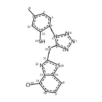 Cc1ccc(-n2nnnc2Sc2nc3c(Cl)cccc3s2)c(S)c1